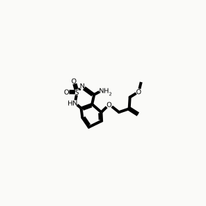 C=C(COC)COc1cccc2c1C(N)=NS(=O)(=O)N2